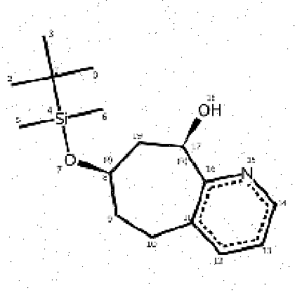 CC(C)(C)[Si](C)(C)O[C@@H]1CCc2cccnc2[C@H](O)C1